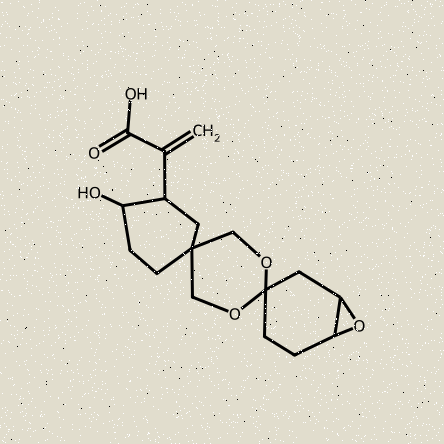 C=C(C(=O)O)C1CC2(CCC1O)COC1(CCC3OC3C1)OC2